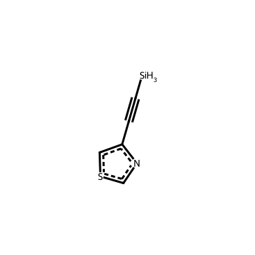 [SiH3]C#Cc1cscn1